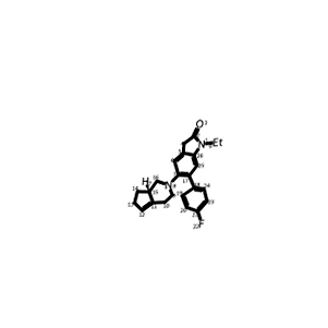 CCN1C(=O)Cc2cc(N3CCC4=CCC[C@@H]4C3)c(-c3ccc(F)cc3)cc21